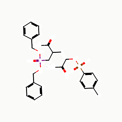 COC(=O)C(C[C@H](OS(=O)(=O)c1ccc(C)cc1)C(=O)OC)CP(=O)(OCc1ccccc1)OCc1ccccc1